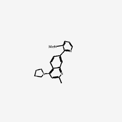 CNc1cccnc1-c1ccc2c(N3CCCC3)cc(C)nc2c1